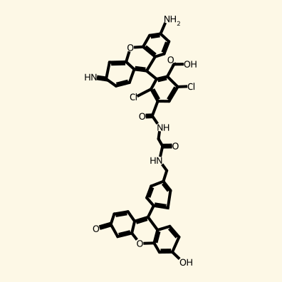 N=c1ccc2c(-c3c(Cl)c(C(=O)NCC(=O)NCc4ccc(-c5c6ccc(=O)cc-6oc6cc(O)ccc56)cc4)cc(Cl)c3C(=O)O)c3ccc(N)cc3oc-2c1